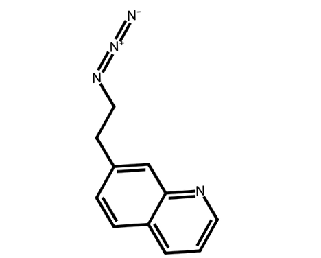 [N-]=[N+]=NCCc1ccc2cccnc2c1